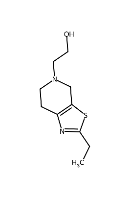 CCc1nc2c(s1)CN(CCO)CC2